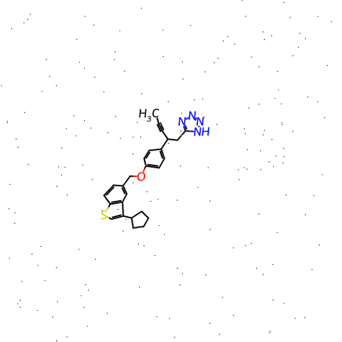 CC#CC(Cc1nnn[nH]1)c1ccc(OCc2ccc3scc(C4CCCC4)c3c2)cc1